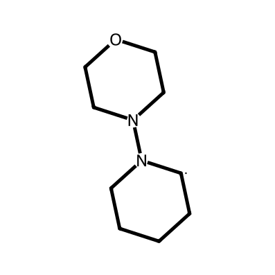 [CH]1CCCCN1N1CCOCC1